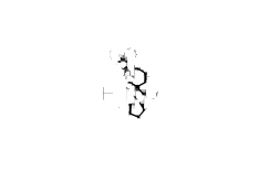 NC1(C(=O)N2CCCC2)CCCN(OC(=O)C(F)(F)F)C1